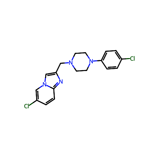 Clc1ccc(N2CCN(Cc3cn4cc(Cl)ccc4n3)CC2)cc1